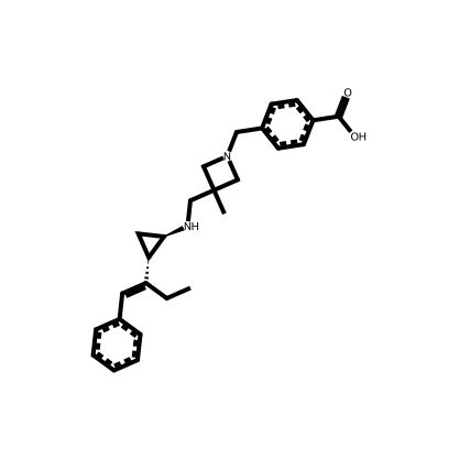 CC/C(=C\c1ccccc1)[C@@H]1C[C@H]1NCC1(C)CN(Cc2ccc(C(=O)O)cc2)C1